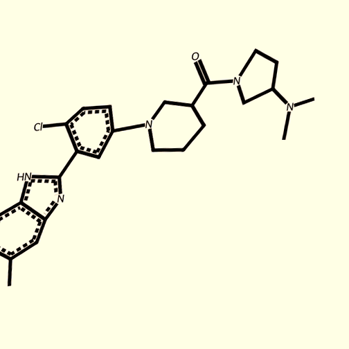 Cc1ccc2[nH]c(-c3cc(N4CCCC(C(=O)N5CCC(N(C)C)C5)C4)ccc3Cl)nc2c1